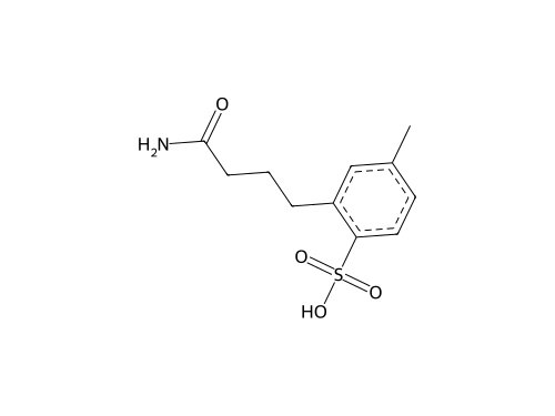 Cc1ccc(S(=O)(=O)O)c(CCCC(N)=O)c1